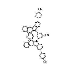 N#Cc1ccc(-c2ccc3c(c2)c2ccccc2n3-c2cc(C#N)cc(-n3c4ccccc4c4cc(-c5ccc(C#N)cc5)ccc43)c2-c2cc(-c3ccccc3)nc(-c3ccccc3)c2)cc1